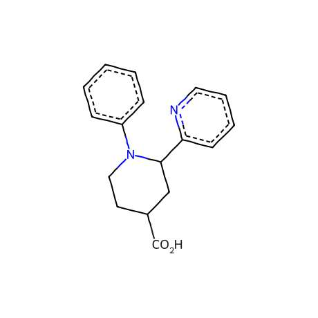 O=C(O)C1CCN(c2ccccc2)C(c2ccccn2)C1